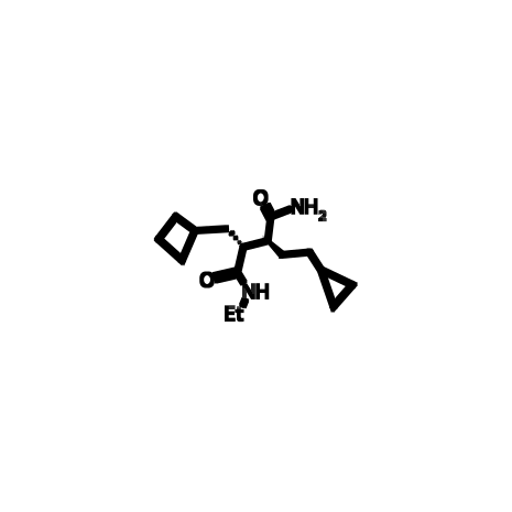 CCNC(=O)[C@H](CC1CCC1)[C@H](CCC1CC1)C(N)=O